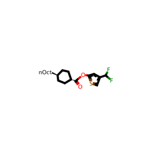 CCCCCCCC[C@H]1CC[C@H](C(=O)Oc2cc(C(F)F)cs2)CC1